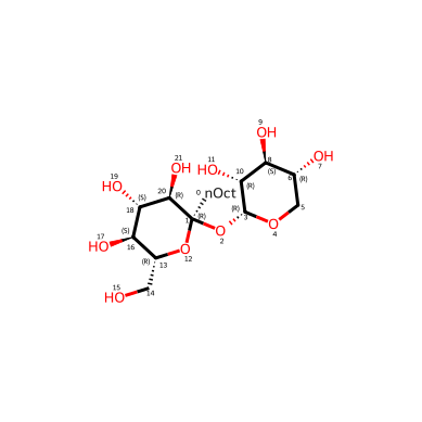 CCCCCCCC[C@]1(O[C@H]2OC[C@@H](O)[C@H](O)[C@H]2O)O[C@H](CO)[C@@H](O)[C@H](O)[C@H]1O